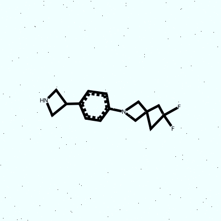 FC1(F)CC2(CN(c3ccc(C4CNC4)cc3)C2)C1